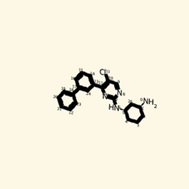 N[C@@H]1CCC[C@H](Nc2ncc(Cl)c(-c3cccc(-c4ccccc4)c3)n2)C1